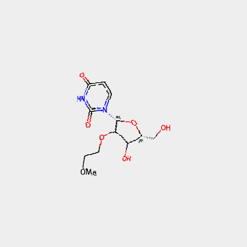 COCCOC1C(O)[C@@H](CO)O[C@H]1n1ccc(=O)[nH]c1=O